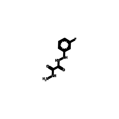 NNC(=O)C(=O)NNc1cccc(F)c1